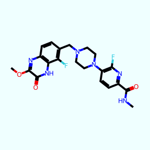 CNC(=O)c1ccc(N2CCN(Cc3ccc4nc(OC)c(=O)[nH]c4c3F)CC2)c(F)n1